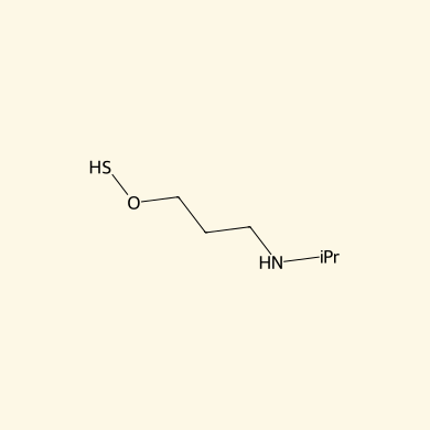 CC(C)NCCCOS